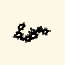 c1ncc(N2CCCCC2)cc1Nc1cnc2ccc(Nc3nnc(C4CCCC4)s3)nc2c1